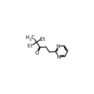 CCC(C)(CC)C(=O)CCc1ncccn1